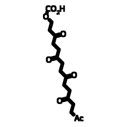 CC(=O)CCC(=O)CCC(=O)CCC(=O)CCC(=O)CCOC(=O)O